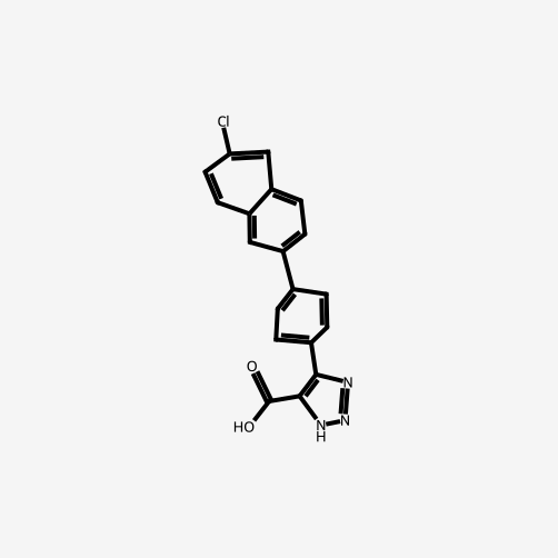 O=C(O)c1[nH]nnc1-c1ccc(-c2ccc3cc(Cl)ccc3c2)cc1